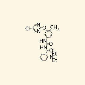 CCN(CC)c1ccccc1C(=O)NC(=O)Nc1ccc(C)c(Oc2ncc(Cl)cn2)c1